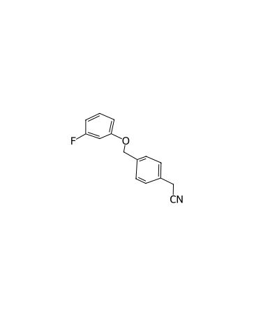 N#CCc1ccc(COc2cccc(F)c2)cc1